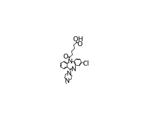 CN1CCN(C2=Nc3cc(Cl)ccc3N(C(=O)CCCCC(=O)O)c3ccccc32)CC1